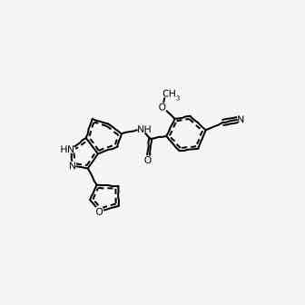 COc1cc(C#N)ccc1C(=O)Nc1ccc2[nH]nc(-c3ccoc3)c2c1